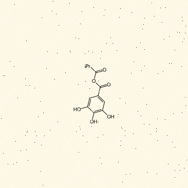 CC(C)C(=O)OC(=O)c1cc(O)c(O)c(O)c1